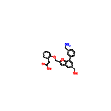 NCc1cccc(-c2cc(CO)cc3cc(COc4ccccc4CC(=O)O)oc23)c1